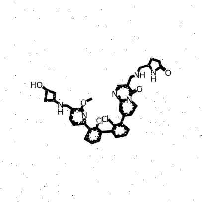 COc1nc(-c2cccc(-c3cccc(-c4ccn5c(=O)c(CNCC6CCC(=O)N6)cnc5c4)c3Cl)c2Cl)ccc1CNC1CC(O)C1